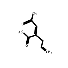 C=CCC(=CC(=O)O)C(C)=O